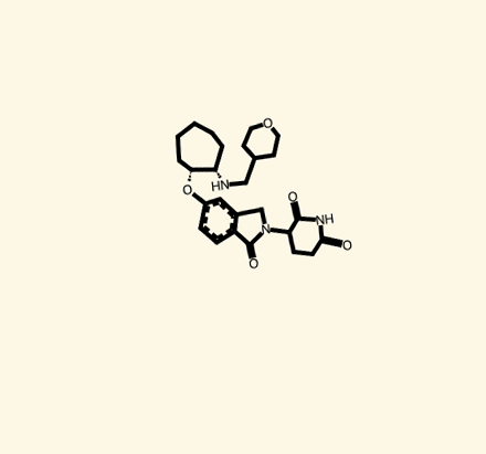 O=C1CCC(N2Cc3cc(O[C@@H]4CCCCC[C@@H]4NCC4CCOCC4)ccc3C2=O)C(=O)N1